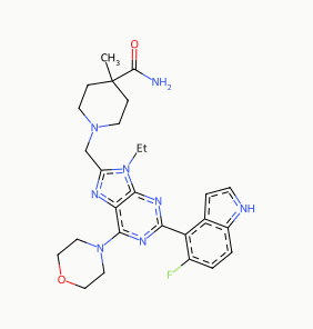 CCn1c(CN2CCC(C)(C(N)=O)CC2)nc2c(N3CCOCC3)nc(-c3c(F)ccc4[nH]ccc34)nc21